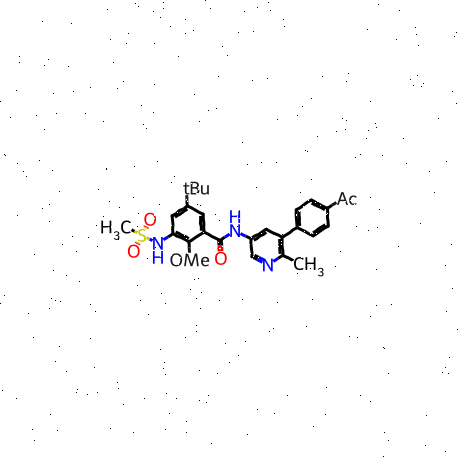 COc1c(NS(C)(=O)=O)cc(C(C)(C)C)cc1C(=O)Nc1cnc(C)c(-c2ccc(C(C)=O)cc2)c1